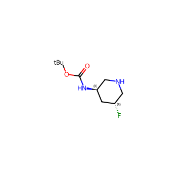 CC(C)(C)OC(=O)N[C@H]1CNC[C@H](F)C1